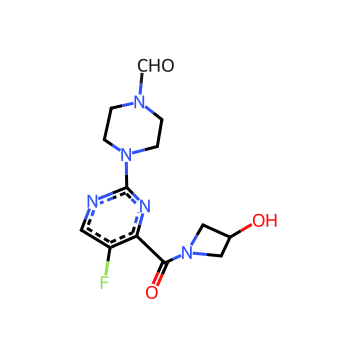 O=CN1CCN(c2ncc(F)c(C(=O)N3CC(O)C3)n2)CC1